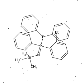 CCc1ccccc1P(=N[Si](C)(C)C)(c1ccccc1)P(c1ccccc1)c1ccccc1